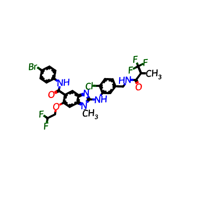 CC(C(=O)NCc1ccc(Cl)c(Nc2nc3cc(C(=O)Nc4ccc(Br)cc4)c(OCC(F)F)cc3n2C)c1)C(F)(F)F